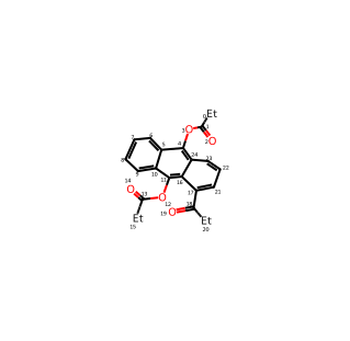 CCC(=O)Oc1c2ccccc2c(OC(=O)CC)c2c(C(=O)CC)cccc12